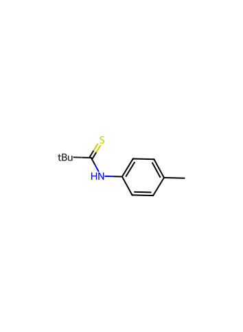 Cc1ccc(NC(=S)C(C)(C)C)cc1